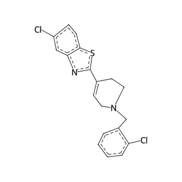 Clc1ccc2sc(C3=CCN(Cc4ccccc4Cl)CC3)nc2c1